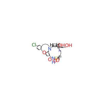 C[C@@H]1[C@@H](C)C/C=C/[C@](O)(C#CCO)[C@@H]2CC[C@H]2CN2CCCCc3cc(Cl)ccc3COc3ccc(cc32)C(=O)NS1(=O)=O